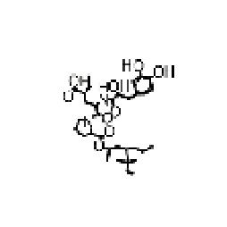 CCCC(CC(C)OC(=O)C1CCCN1C(=O)C(CC(C)C(=O)O)NC(=O)C(O)Cc1ccc(O)c(O)c1)C(C)(C)CC